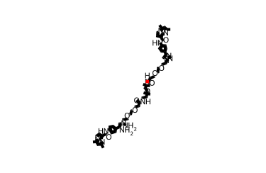 Cc1cc(C)n2ccc(C(=O)Nc3ccc(/C(N)=C/N(N)CCOCCOCCC(=O)NCCC(C)(C)OCC(C)(C)NC(=O)CCOCCOCCn4cc(-c5ccc(NC(=O)c6ccn7c(C)cc(C)nc67)cc5)nn4)cc3)c2n1